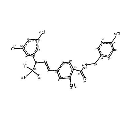 Cc1cc(C=CC(c2cc(Cl)cc(Cl)c2)C(F)(F)F)ccc1C(=O)NCc1ccc(Cl)nc1